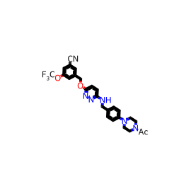 CC(=O)N1CCN(c2ccc(CNc3ccc(OCc4cc(C#N)cc(OC(F)(F)F)c4)nn3)cc2)CC1